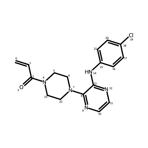 C=CC(=O)N1CCN(c2nccnc2Nc2ccc(Cl)cc2)CC1